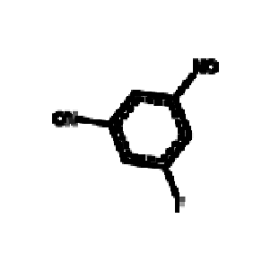 O=Nc1cc(F)cc(N=O)c1